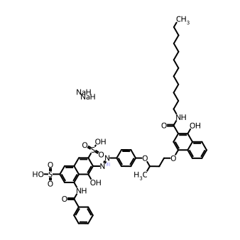 CCCCCCCCCCCCNC(=O)c1cc(OCCC(C)Oc2ccc(/N=N/c3c(S(=O)(=O)O)cc4cc(S(=O)(=O)O)cc(NC(=O)c5ccccc5)c4c3O)cc2)c2ccccc2c1O.[NaH].[NaH]